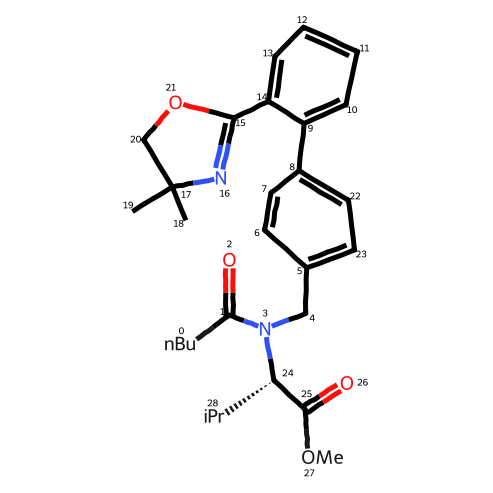 CCCCC(=O)N(Cc1ccc(-c2ccccc2C2=NC(C)(C)CO2)cc1)[C@H](C(=O)OC)C(C)C